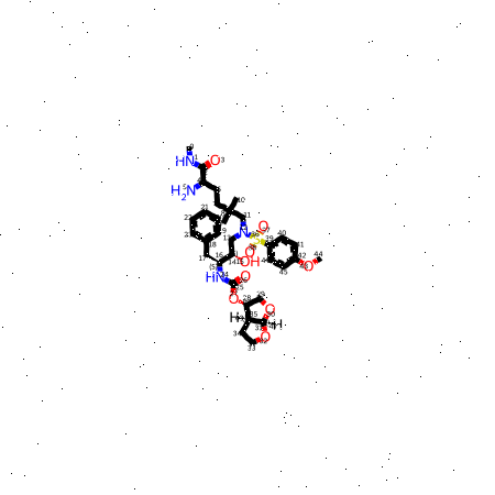 CNC(=O)C(N)CCC(C)(C)CN(C[C@H](O)[C@H](Cc1ccccc1)NC(=O)O[C@H]1CO[C@H]2OCC[C@H]21)S(=O)(=O)c1ccc(OC)cc1